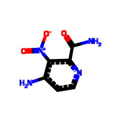 NC(=O)c1nccc(N)c1[N+](=O)[O-]